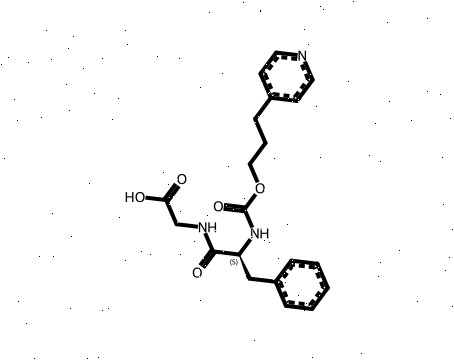 O=C(O)CNC(=O)[C@H](Cc1ccccc1)NC(=O)OCCCc1ccncc1